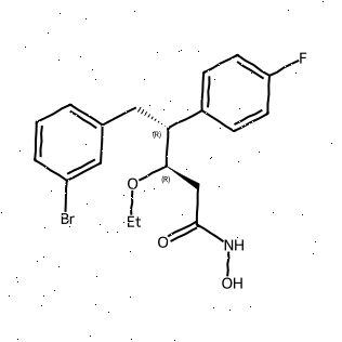 CCO[C@H](CC(=O)NO)[C@H](Cc1cccc(Br)c1)c1ccc(F)cc1